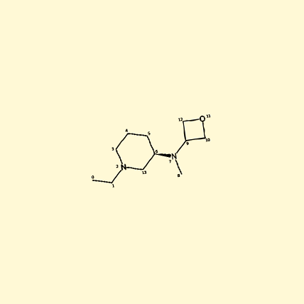 CCN1CCC[C@@H](N(C)C2COC2)C1